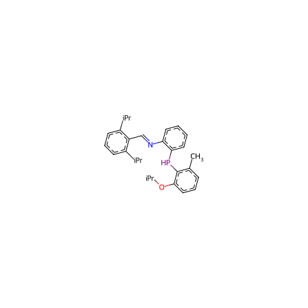 Cc1cccc(OC(C)C)c1Pc1ccccc1/N=C/c1c(C(C)C)cccc1C(C)C